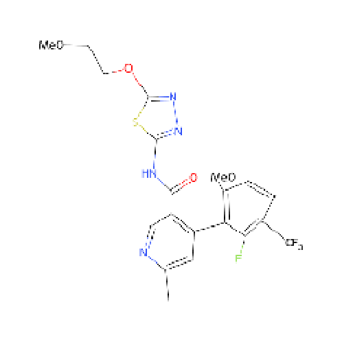 COCCOc1nnc(NC(=O)c2cnc(C)cc2-c2c(OC)ccc(C(F)(F)F)c2F)s1